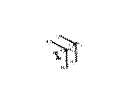 CCCCCCCCCCCCCCCC[N+](C)(C)CCCCCCCCCCCCCCCC.CCCCCCCCCCCCCCCC[N+](C)(C)CCCCCCCCCCCCCCCC.O=C([O-])CCCCC(=O)[O-]